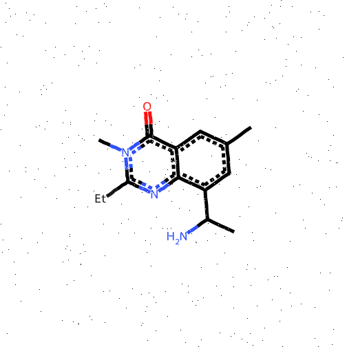 CCc1nc2c(C(C)N)cc(C)cc2c(=O)n1C